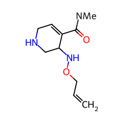 C=CCONC1CNCC=C1C(=O)NC